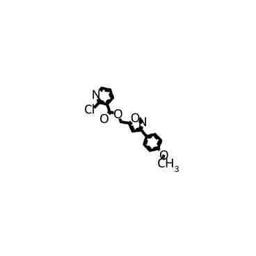 COc1ccc(-c2cc(COC(=O)c3cccnc3Cl)on2)cc1